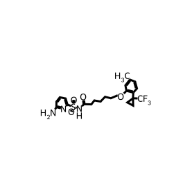 Cc1ccc(C2(C(F)(F)F)CC2)c(OCCCCCCC(=O)NS(=O)(=O)c2cccc(N)n2)c1